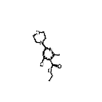 CCOC(=O)c1c(Cl)cc(N2CCOCC2)nc1C